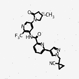 C[C@H]1CC(=O)N(c2cnc(C(F)(F)F)c(NC(=O)c3cccc(-c4cnn(CC5(C#N)CC5)c4)n3)c2)C1